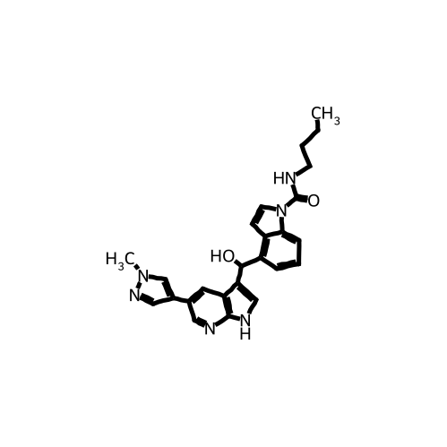 CCCCNC(=O)n1ccc2c(C(O)c3c[nH]c4ncc(-c5cnn(C)c5)cc34)cccc21